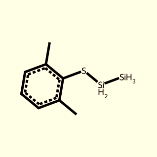 Cc1cccc(C)c1S[SiH2][SiH3]